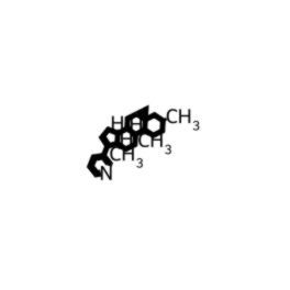 C[C@H]1CC[C@]2(C)[C@H]3CC[C@]4(C)C(c5cccnc5)=CC[C@H]4[C@@H]3CC3CC32C1